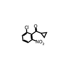 O=C(c1c(Cl)cccc1[N+](=O)[O-])C1CC1